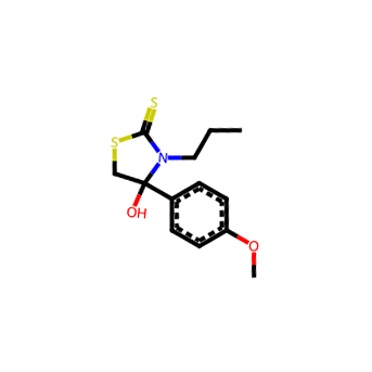 CCCN1C(=S)SCC1(O)c1ccc(OC)cc1